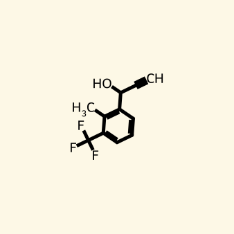 C#CC(O)c1cccc(C(F)(F)F)c1C